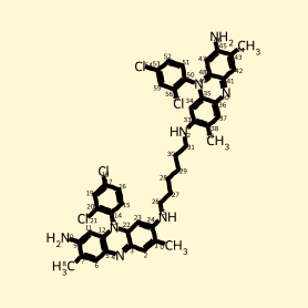 CC1=CC2=Nc3cc(C)c(N)cc3N(c3ccc(Cl)cc3Cl)C2C=C1NCCCCCCNc1cc2c(cc1C)nc1cc(C)c(N)cc1[n+]2-c1ccc(Cl)cc1Cl